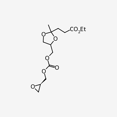 CCOC(=O)CCC1(C)OCC(COC(=O)OC[C@H]2CO2)O1